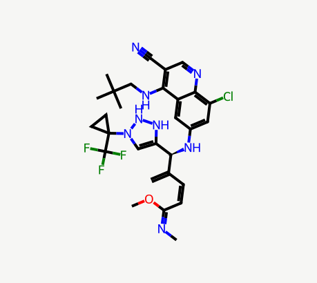 C=C(/C=C\C(=N/C)OC)[C@H](Nc1cc(Cl)c2ncc(C#N)c(NCC(C)(C)C)c2c1)C1=CN(C2(C(F)(F)F)CC2)NN1